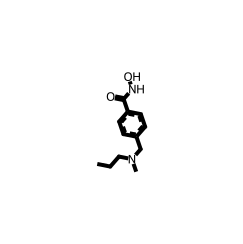 CCCN(C)Cc1ccc(C(=O)NO)cc1